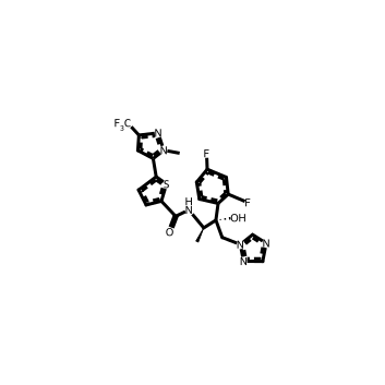 C[C@@H](NC(=O)c1ccc(-c2cc(C(F)(F)F)nn2C)s1)[C@](O)(Cn1cncn1)c1ccc(F)cc1F